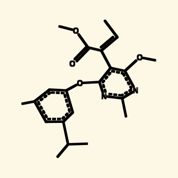 CC=C(C(=O)OC)c1c(OC)nc(C)nc1Oc1cc(C)cc(C(C)C)c1